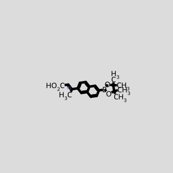 C/C(=C\C(=O)O)c1ccc2cc(B3OC(C)(C)C(C)(C)O3)ccc2c1